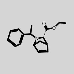 CCOC(=O)[C@@H]1C2C=CC(C2)N1C(C)c1ccccc1